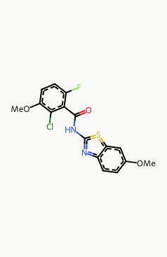 COc1ccc2nc(NC(=O)c3c(F)ccc(OC)c3Cl)sc2c1